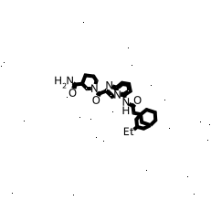 CCC1CC2CCCC(CC(=O)Nc3cccc4nc(C(=O)N5CCCC(C(N)=O)C5)cn34)(C1)C2